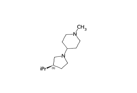 CC(C)[C@@H]1CCN(C2CCN(C)CC2)C1